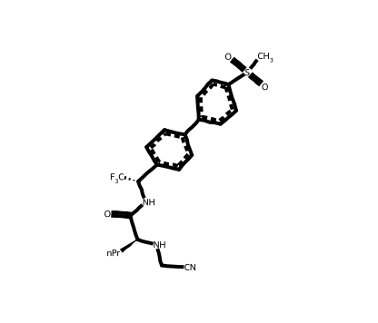 CCC[C@H](NCC#N)C(=O)N[C@@H](c1ccc(-c2ccc(S(C)(=O)=O)cc2)cc1)C(F)(F)F